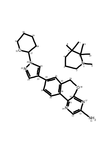 CN1CCCC(C)(C)C1(C)C.Nc1cnc2c(n1)OCc1cc(-c3cnn(C4CCCCO4)c3)ccc1-2